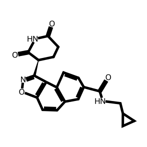 O=C1CC[C@@H](c2noc3ccc4cc(C(=O)NCC5CC5)ccc4c23)C(=O)N1